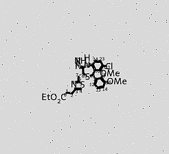 CCOC(=O)CCc1csc(C[C@H]2S[C@H](c3cccc(OC)c3OC)c3cc(Cl)ccc3NC2=NN)n1